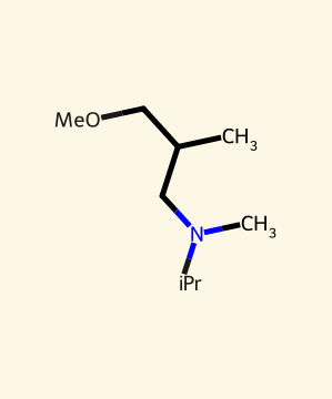 COCC(C)CN(C)C(C)C